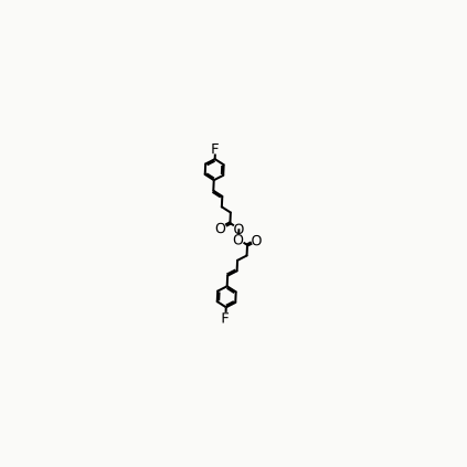 O=C(CCC=Cc1ccc(F)cc1)OOC(=O)CCC=Cc1ccc(F)cc1